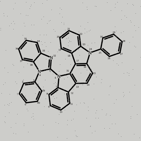 c1ccc(-n2c(-n3c4ccccc4c4ccc5c(c6ccccc6n5-c5ccccc5)c43)nc3ccccc32)cc1